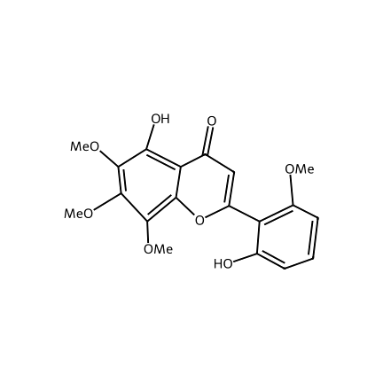 COc1cccc(O)c1-c1cc(=O)c2c(O)c(OC)c(OC)c(OC)c2o1